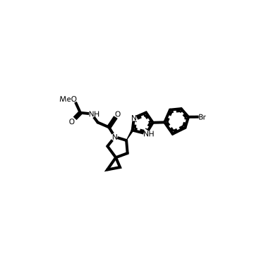 COC(=O)NCC(=O)N1CC2(CC2)C[C@@H]1c1ncc(-c2ccc(Br)cc2)[nH]1